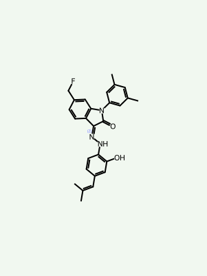 CC(C)=Cc1ccc(N/N=C2\C(=O)N(c3cc(C)cc(C)c3)c3cc(CF)ccc32)c(O)c1